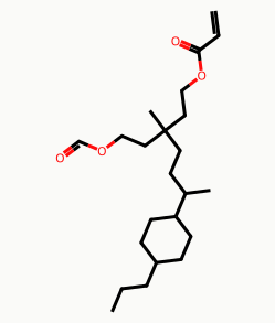 C=CC(=O)OCCC(C)(CCOC=O)CCC(C)C1CCC(CCC)CC1